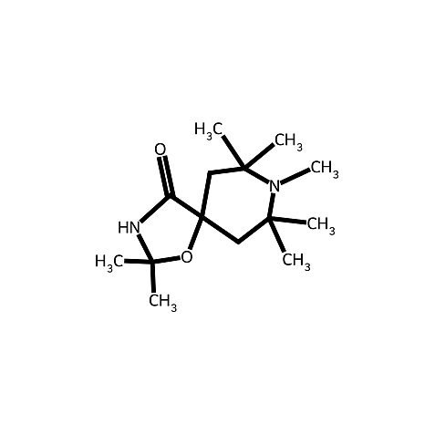 CN1C(C)(C)CC2(CC1(C)C)OC(C)(C)NC2=O